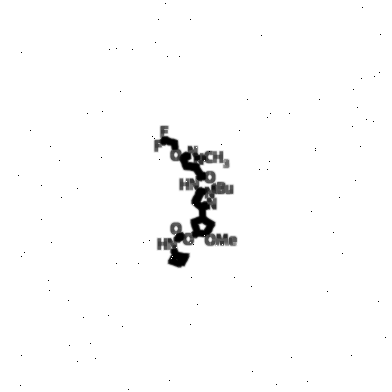 COC1CC(c2cc(NC(=O)c3cc(OCC(F)F)nn3C)n(C(C)(C)C)n2)CC1OC(=O)NC12CC(C1)C2